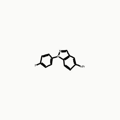 C[CH]Cc1ccc2c(cnn2-c2ccc(F)cc2)c1